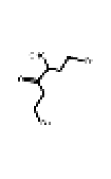 CCC(C)CCC(=O)C([C]=O)CCC(C)C